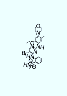 CCOc1cc(N2CCOCC2)c(C)cc1Nc1ncc(Br)c(Nc2ccccc2S(=O)(=O)NC)n1